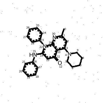 Cc1cc(N2CCCCC2)c2c(=O)cc(Nc3ccccc3)n(-c3ccccc3)c2n1